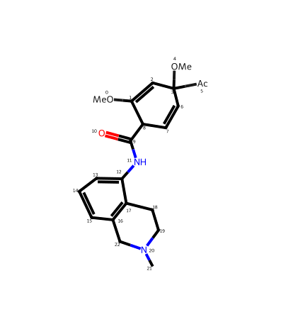 COC1=CC(OC)(C(C)=O)C=CC1C(=O)Nc1cccc2c1CCN(C)C2